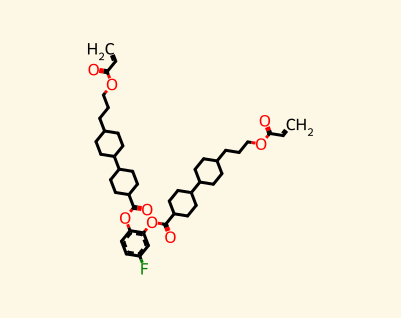 C=CC(=O)OCCCC1CCC(C2CCC(C(=O)Oc3ccc(F)cc3OC(=O)C3CCC(C4CCC(CCCOC(=O)C=C)CC4)CC3)CC2)CC1